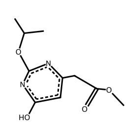 COC(=O)Cc1cc(O)nc(OC(C)C)n1